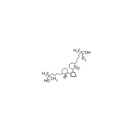 CC(C)(CO)CCCCC1CCCC(c2ccccc2C2CCCC(CCCCC(C)(C)CO)[S+]2[O-])[S+]1[O-]